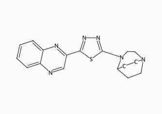 c1ccc2nc(-c3nnc(N4CCN5CCC4CC5)s3)cnc2c1